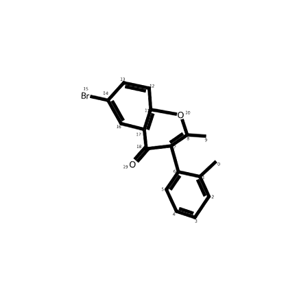 Cc1ccccc1-c1c(C)oc2ccc(Br)cc2c1=O